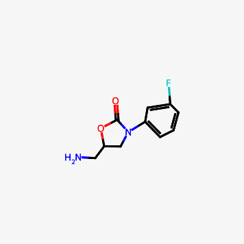 NCC1CN(c2cccc(F)c2)C(=O)O1